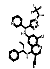 CC[C@@H](Nc1c(C#N)cnc2c(Cl)cc(N[C@@H](c3cccnc3)c3cn([C@H](C)C(F)(F)F)nn3)cc12)c1ccccc1